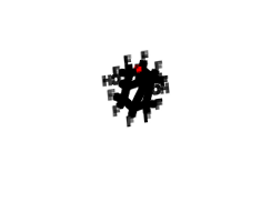 OC12C(F)C3(O)C(F)(F)C(F)(C1(F)F)C(F)(F)C(F)(C2(F)F)C3(F)F